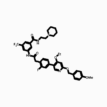 CCOc1cc(OCc2ccc(OC)cc2)ncc1-c1ccc(CC(=O)Nc2cc(C(=O)NCCN3CCCCC3)cc(C(F)(F)F)c2)c(F)c1